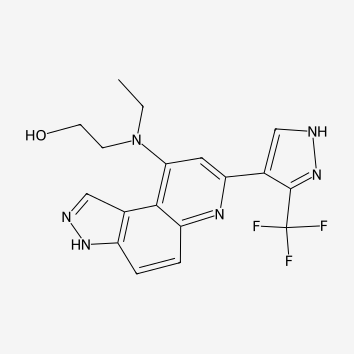 CCN(CCO)c1cc(-c2c[nH]nc2C(F)(F)F)nc2ccc3[nH]ncc3c12